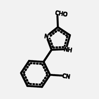 N#Cc1ccccc1-c1nc(C=O)c[nH]1